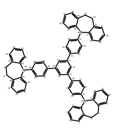 c1ccc2c(c1)CCc1ccccc1N2c1ccc(-c2cc(-c3ccc(N4c5ccccc5CCc5ccccc54)cc3)cc(-c3ccc(N4c5ccccc5CCc5ccccc54)cc3)c2)cc1